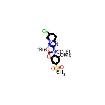 C[CH]OC(=O)[N+](C(=O)OC(C)(C)C)(c1nc2ccc(Cl)cn2n1)c1ccc(S(C)(=O)=O)cc1OC